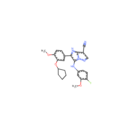 COc1cc(Nc2c(-c3ccc(OC)c(OC4CCCC4)c3)[nH]c3c(C#N)cnn23)ccc1F